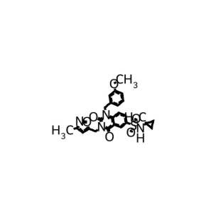 COc1cccc(Cn2c(=O)n(Cc3cc(C)no3)c(=O)c3cc(S(=O)(=O)NC4(C)CC4)ccc32)c1